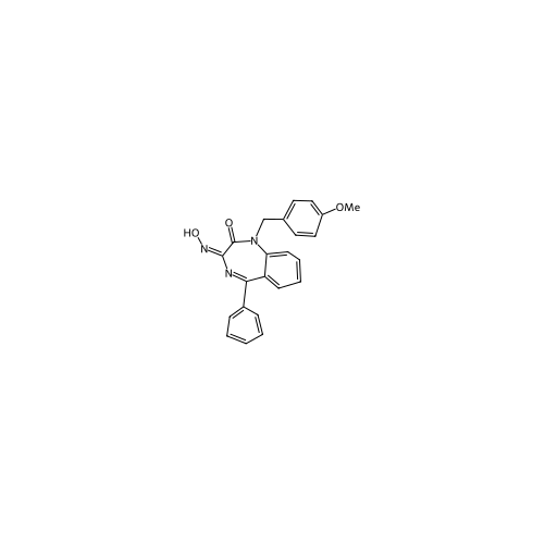 COc1ccc(Cn2c(=O)/c(=N\O)nc(-c3ccccc3)c3ccccc32)cc1